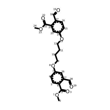 COC(=O)c1ccc(OCCCCOc2ccc(C=O)c(C(=O)OC)c2)cc1C=O